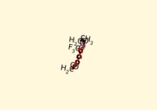 C=CC(=O)Oc1ccc(-c2ccc(-c3ccc(O/C=C\OC(=O)C(=C)C)c(C(F)(F)F)c3)cc2)cc1